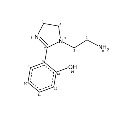 NCCN1CCN=C1c1ccccc1O